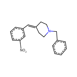 O=[N+]([O-])c1cccc(C=C2CCN(Cc3ccccc3)CC2)c1